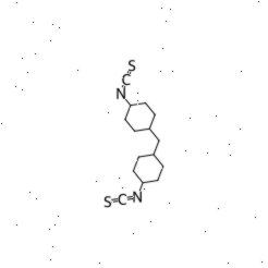 S=C=NC1CCC(CC2CCC(N=C=S)CC2)CC1